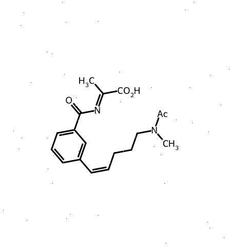 CC(=O)N(C)CCC/C=C\c1cccc(C(=O)/N=C(\C)C(=O)O)c1